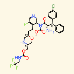 COC(=O)N(C(=O)[C@@H](N)[C@H](c1ccccc1)c1ccc(Cl)cc1)c1cncc(F)c1CC[C@@H]1CN[C@H](COC(=O)NCC(F)(F)F)CO1